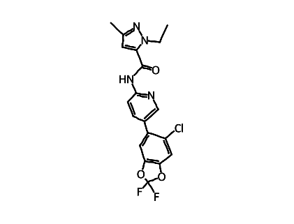 CCn1nc(C)cc1C(=O)Nc1ccc(-c2cc3c(cc2Cl)OC(F)(F)O3)cn1